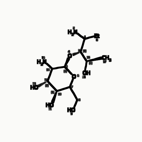 CCC(N)[C@@H](O[C@H]1OC(CO)[C@@H](O)[C@H](O)C1N)[C@@H](C)O